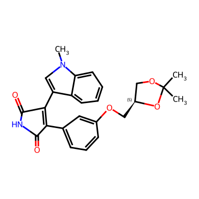 Cn1cc(C2=C(c3cccc(OC[C@H]4COC(C)(C)O4)c3)C(=O)NC2=O)c2ccccc21